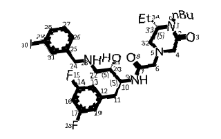 CCCCN1C(=O)CN(CC(=O)N[C@@H](Cc2cc(F)cc(F)c2)[C@@H](O)CNCc2cccc(I)c2)C[C@@H]1CC